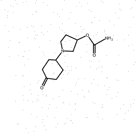 NC(=O)OC1CCN(C2CCC(=O)CC2)C1